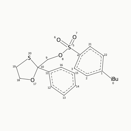 CCC(C)c1ccc(S(=O)(=O)OCC2(c3ccccc3)OCCS2)cc1